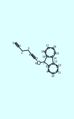 C#CCCC#COC1c2ccccc2-c2ccccc21